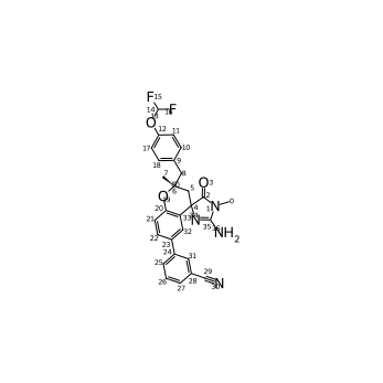 CN1C(=O)C2(C[C@@](C)(Cc3ccc(OC(F)F)cc3)Oc3ccc(-c4cccc(C#N)c4)cc32)N=C1N